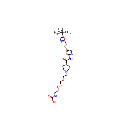 CC(C)(C)c1cnc(CSc2cnc(NC(=O)C3CCN(CCOCCOCCNC(=O)O)CC3)s2)o1